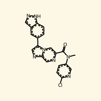 CN(C(=O)c1cn2c(-c3ccc4[nH]ncc4c3)cnc2cn1)c1ccc(Cl)nc1